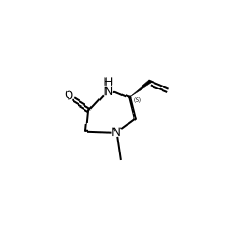 C=C[C@H]1CN(C)CC(=O)N1